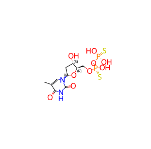 Cc1cn([C@H]2C[C@H](O)[C@@H](COP(O)(=S)OP(O)(O)=S)O2)c(=O)[nH]c1=O